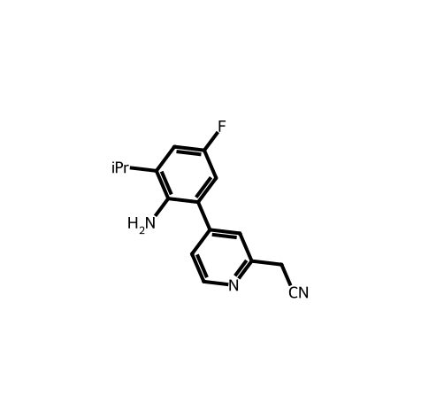 CC(C)c1cc(F)cc(-c2ccnc(CC#N)c2)c1N